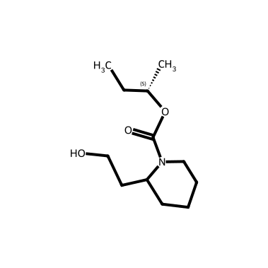 CC[C@H](C)OC(=O)N1CCCCC1CCO